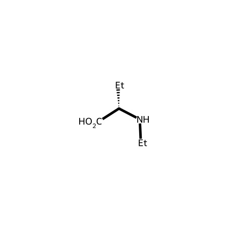 [CH2]C[C@H](NCC)C(=O)O